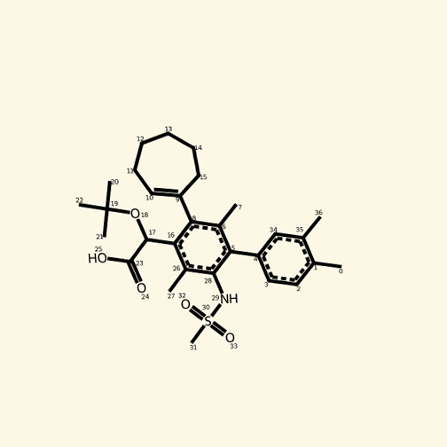 Cc1ccc(-c2c(C)c(C3=CCCCCC3)c(C(OC(C)(C)C)C(=O)O)c(C)c2NS(C)(=O)=O)cc1C